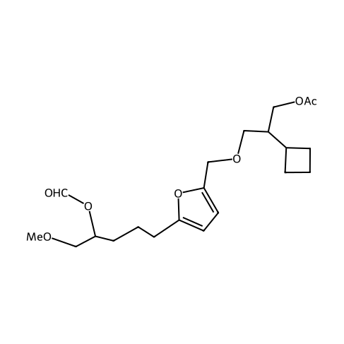 COCC(CCCc1ccc(COCC(COC(C)=O)C2CCC2)o1)OC=O